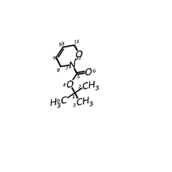 CC(C)(C)OC(=O)N1CC=CCO1